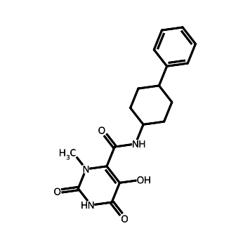 Cn1c(C(=O)NC2CCC(c3ccccc3)CC2)c(O)c(=O)[nH]c1=O